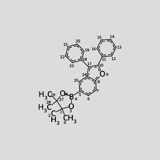 CC1(C)OB(c2ccc3oc(-c4ccccc4)c(-c4ccccc4)c3c2)OC1(C)C